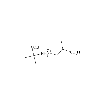 CC(C)(N)C(=O)O.CC(CN)C(=O)O